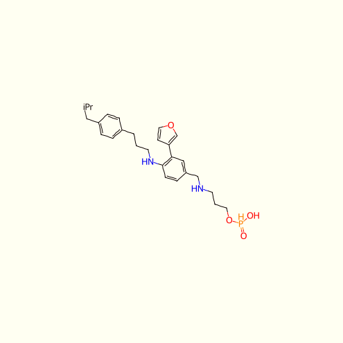 CC(C)Cc1ccc(CCCNc2ccc(CNCCCO[PH](=O)O)cc2-c2ccoc2)cc1